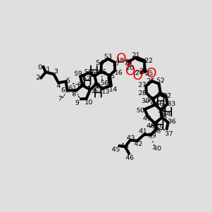 CC(C)CCC[C@@H](C)[C@H]1CC[C@H]2[C@@H]3CC=C4C[C@@H](OC(=O)/C=C\C(=O)O[C@H]5CC[C@@]6(C)C(=CC[C@H]7[C@@H]8CC[C@H]([C@H](C)CCCC(C)C)[C@@]8(C)CC[C@@H]76)C5)CC[C@]4(C)[C@H]3CC[C@]12C